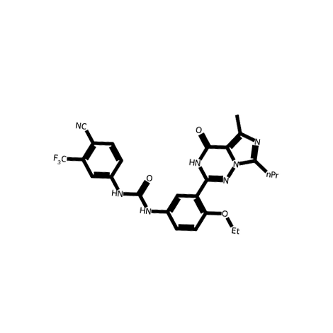 CCCc1nc(C)c2c(=O)[nH]c(-c3cc(NC(=O)Nc4ccc(C#N)c(C(F)(F)F)c4)ccc3OCC)nn12